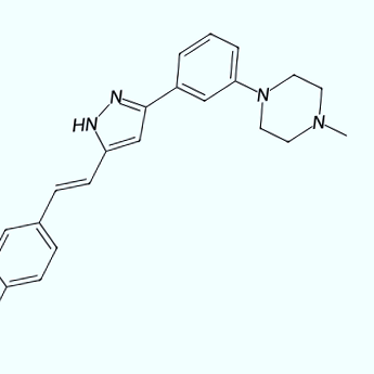 CN1CCN(c2cccc(-c3cc(/C=C/c4ccc(O)cc4)[nH]n3)c2)CC1